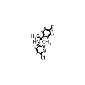 CC(C)(Nc1ccc(Cl)nn1)c1ccc(F)cc1